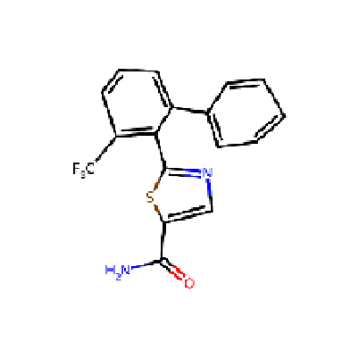 NC(=O)c1cnc(-c2c(-c3ccccc3)cccc2C(F)(F)F)s1